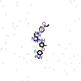 C=CC(=O)N1CCN(c2ncc3ncnc(Nc4ccc(Oc5cc(F)c6c(c5)ncn6C)c(C)c4)c3n2)CC1